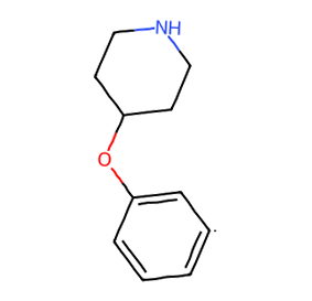 [c]1cccc(OC2CCNCC2)c1